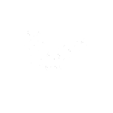 Cc1ccc(C(O)(C(N)=O)C(F)(F)F)cc1-c1cnc(N)c(N2CCN(c3cncs3)CC2)n1